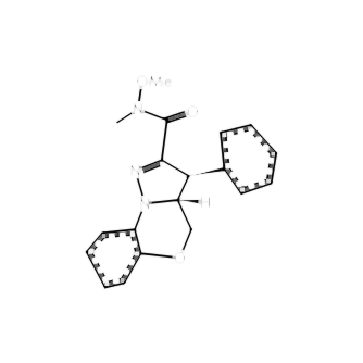 CON(C)C(=O)C1=NN2c3ccccc3OC[C@H]2[C@@H]1c1ccccc1